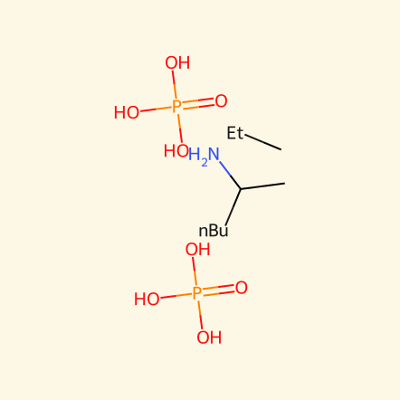 CCC.CCCCC(C)N.O=P(O)(O)O.O=P(O)(O)O